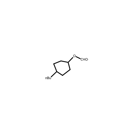 CCCCC1CCC(O[C]=O)CC1